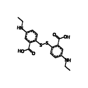 CCNc1ccc(SSc2ccc(NCC)cc2C(=O)O)c(C(=O)O)c1